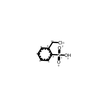 O=S(=O)(O)c1ccccc1CCl